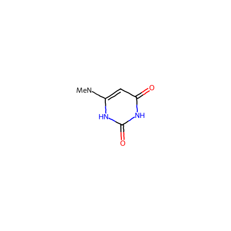 CNc1cc(=O)[nH]c(=O)[nH]1